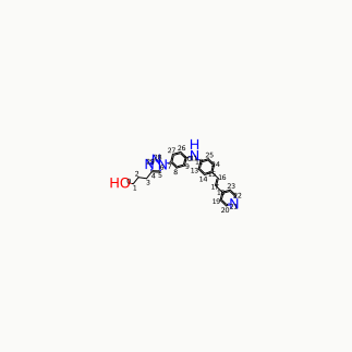 OCCCc1cn(-c2ccc(Nc3ccc(C=Cc4ccncc4)cc3)cc2)nn1